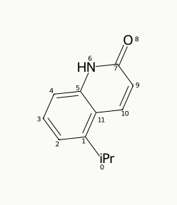 CC(C)c1cccc2[nH]c(=O)ccc12